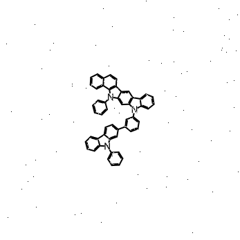 c1ccc(-n2c3ccccc3c3ccc(-c4cccc(-n5c6ccccc6c6cc7c8ccc9ccccc9c8n(-c8ccccc8)c7cc65)c4)cc32)cc1